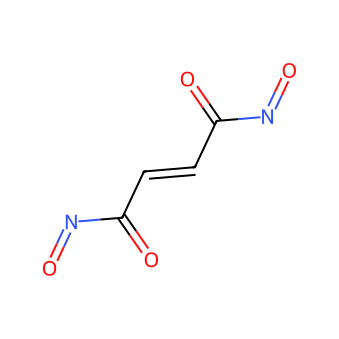 O=NC(=O)/C=C/C(=O)N=O